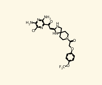 Nc1nc(N)c(C(=O)/C=C2\NCC3(CCN(C(=O)COc4ccc(OC(F)(F)F)cc4)CC3)N2)nc1Cl